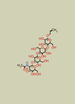 C=CCO[C@@H]1OC(CO)[C@@H](O[C@@H]2OC(CO)[C@H](O[C@H]3OC(CO)[C@H](O)[C@H](O[C@@H]4OC(CO)[C@H](O)[C@H](O)C4NC(C)=O)C3O)[C@H](O)C2O)[C@H](O)C1O